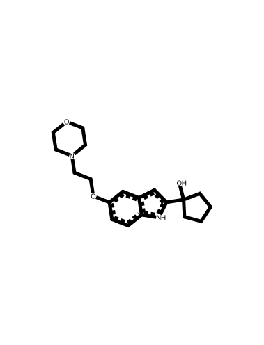 OC1(c2cc3cc(OCCN4CCOCC4)ccc3[nH]2)CCCC1